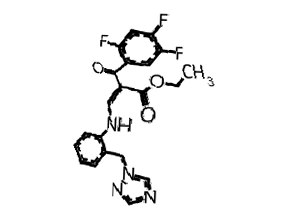 CCOC(=O)C(=CNc1ccccc1Cn1cncn1)C(=O)c1cc(F)c(F)cc1F